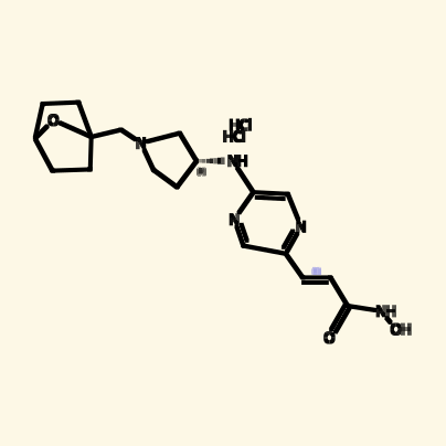 Cl.Cl.O=C(/C=C/c1cnc(N[C@@H]2CCN(CC34CCC(CC3)O4)C2)cn1)NO